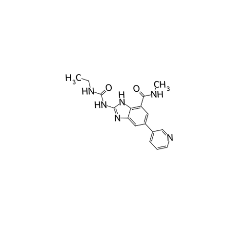 CCNC(=O)Nc1nc2cc(-c3cccnc3)cc(C(=O)NC)c2[nH]1